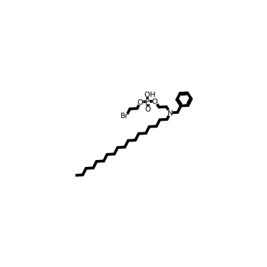 CCCCCCCCCCCCCCCCCCN(CCOP(=O)(O)OCCBr)Cc1ccccc1